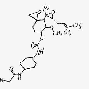 COC1C(OC(=O)NC2CCC(NC(=O)CN)CC2)CCC2(CO2)C1C1(C)O[C@@H]1CC=C(C)C